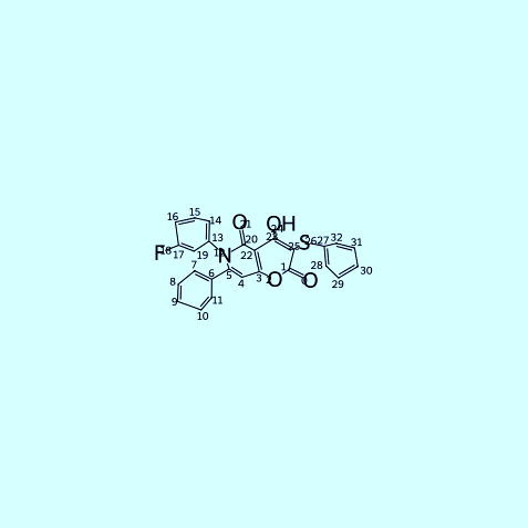 O=c1oc2cc(-c3ccccc3)n(-c3cccc(F)c3)c(=O)c2c(O)c1Sc1ccccc1